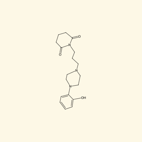 O=C1CCCC(=O)N1CCCN1CCN(c2ccccc2O)CC1